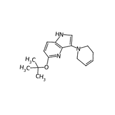 CC(C)(C)Oc1ccc2[nH]cc(N3CC=CCC3)c2n1